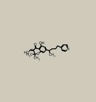 CC(CCCc1ccncc1)c1cc(O)c2c(c1)OC(C)(C)/C(=C\O)C2=O